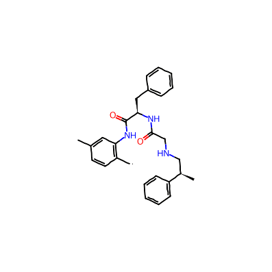 [CH2]c1ccc(C)cc1NC(=O)[C@@H](Cc1ccccc1)NC(=O)CNC[C@@H](C)c1ccccc1